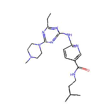 CCc1nc(Nc2ccc(C(=O)NCCC(C)C)cn2)nc(N2CCN(C)CC2)n1